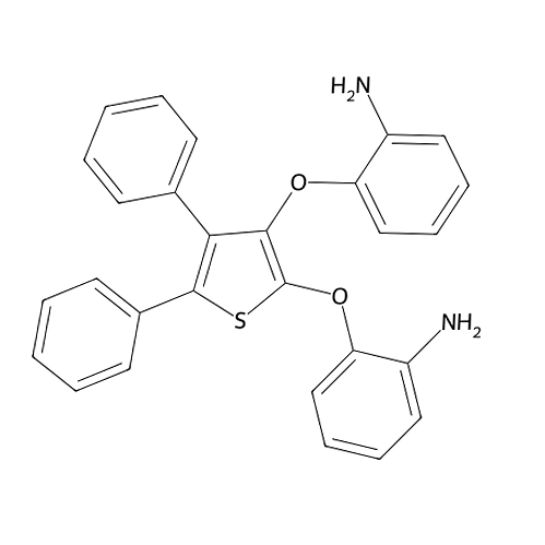 Nc1ccccc1Oc1sc(-c2ccccc2)c(-c2ccccc2)c1Oc1ccccc1N